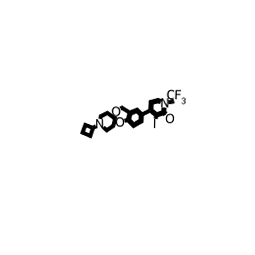 O=c1c(I)c(-c2ccc3c(c2)COC2(CCN(C4CCC4)CC2)O3)ccn1CC(F)(F)F